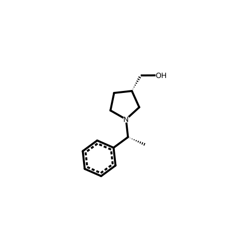 C[C@H](c1ccccc1)N1CC[C@H](CO)C1